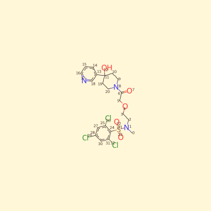 CN(CCOCC(=O)N1CCC(O)(c2cccnc2)CC1)S(=O)(=O)c1c(Cl)cc(Cl)cc1Cl